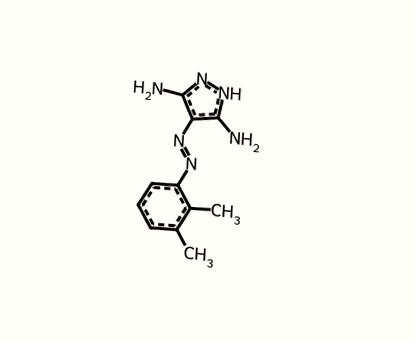 Cc1cccc(N=Nc2c(N)n[nH]c2N)c1C